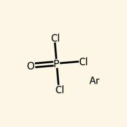 O=P(Cl)(Cl)Cl.[Ar]